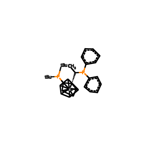 CC(P(c1ccccc1)c1ccccc1)[C@@]12[CH]3[CH]4[CH]5[C]1(P(C(C)(C)C)C(C)(C)C)[Fe]45321678[CH]2[CH]1[CH]6[CH]7[CH]28